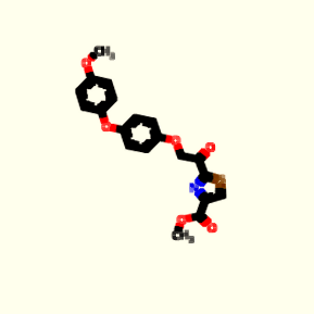 COC(=O)c1csc(C(=O)COc2ccc(Oc3ccc(OC)cc3)cc2)n1